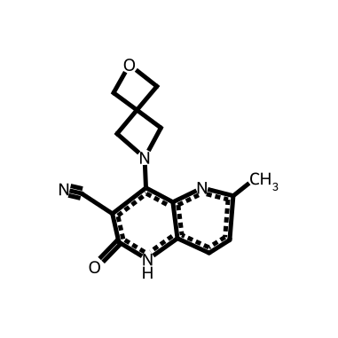 Cc1ccc2[nH]c(=O)c(C#N)c(N3CC4(COC4)C3)c2n1